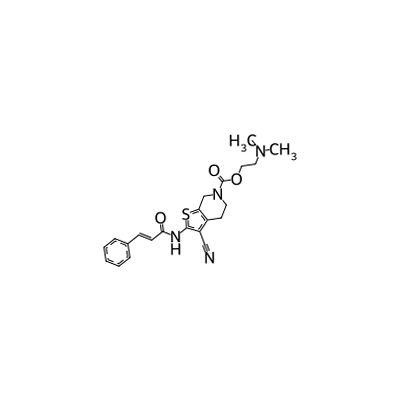 CN(C)CCOC(=O)N1CCc2c(sc(NC(=O)/C=C/c3ccccc3)c2C#N)C1